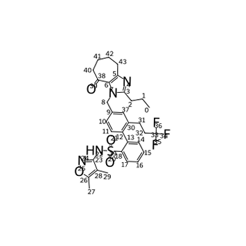 CCCc1nc2c(n1Cc1ccc(-c3ccccc3S(=O)(=O)Nc3noc(C)c3C)c(CCC(F)(F)F)c1)C(=O)CCCC2